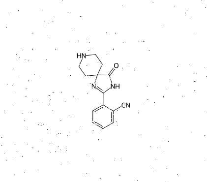 N#Cc1ccccc1C1=NC2(CCNCC2)C(=O)N1